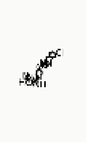 O[C@H]1CN[C@@]1(CN1CCC(Oc2ccnc(Cc3ccc(Cl)cc3)n2)CC1)Cn1ccnc1